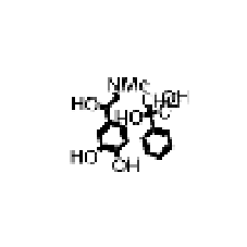 CNCC(O)c1ccc(O)c(O)c1.O=CC(O)(OO)c1ccccc1